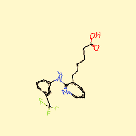 O=C(O)CCCCCc1cccnc1Nc1cccc(C(F)(F)F)c1